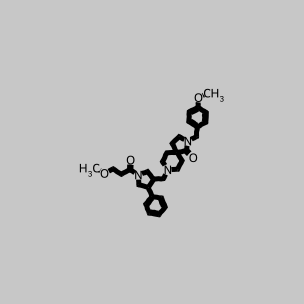 COCCC(=O)N1CC(CN2CCC3(CC2)CCN(Cc2ccc(OC)cc2)C3=O)C(c2ccccc2)C1